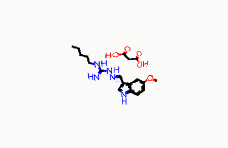 CCCCCNC(=N)N/N=C/c1c[nH]c2ccc(OC)cc12.O=C(O)CC(=O)O